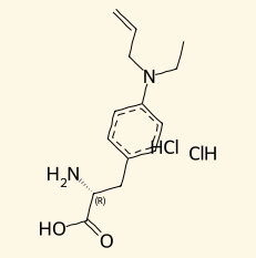 C=CCN(CC)c1ccc(C[C@@H](N)C(=O)O)cc1.Cl.Cl